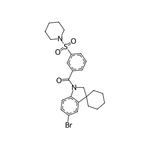 O=C(c1cccc(S(=O)(=O)N2CCCCC2)c1)N1CC2(CCCCC2)c2cc(Br)ccc21